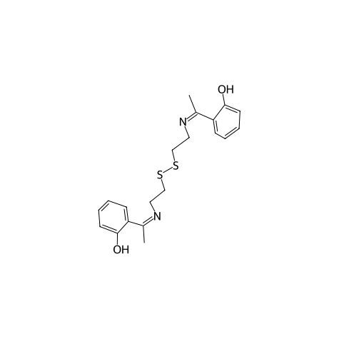 C/C(=N/CCSSCC/N=C(/C)c1ccccc1O)c1ccccc1O